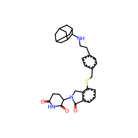 O=C1CCC(N2Cc3c(SCc4ccc(CCNC5C6CC7CC(C6)CC5C7)cc4)cccc3C2=O)C(=O)N1